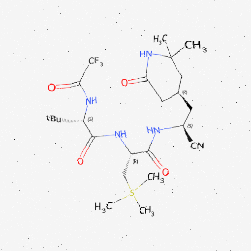 CC1(C)C[C@@H](C[C@@H](C#N)NC(=O)[C@H](CS(C)(C)C)NC(=O)[C@@H](NC(=O)C(F)(F)F)C(C)(C)C)CC(=O)N1